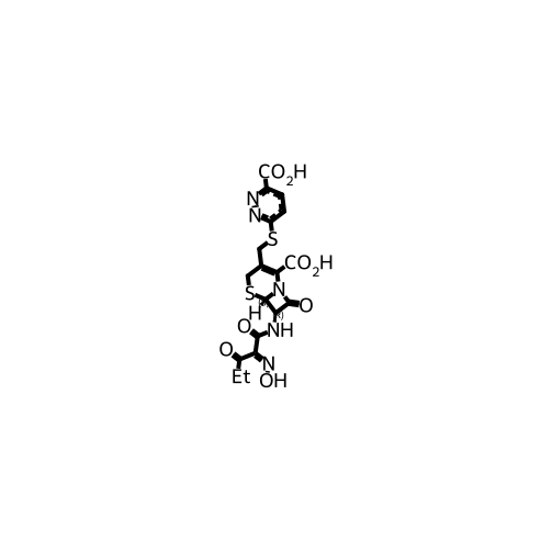 CCC(=O)C(=NO)C(=O)N[C@@H]1C(=O)N2C(C(=O)O)=C(CSc3ccc(C(=O)O)nn3)CS[C@@H]12